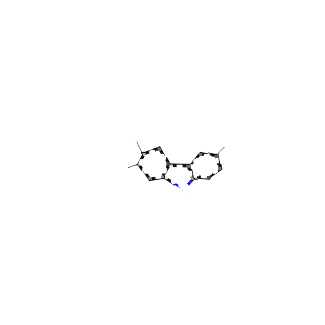 CCOC(=O)c1cc2[nH]c3ccc(F)cc3c2cc1C(=O)OCC